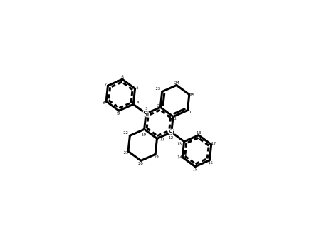 C1=c2c([si](-c3ccccc3)c3c([si]2-c2ccccc2)CCCC3)=CCC1